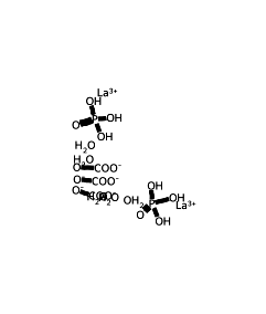 O.O.O.O.O.O=C([O-])[O-].O=C([O-])[O-].O=C([O-])[O-].O=P(O)(O)O.O=P(O)(O)O.[La+3].[La+3]